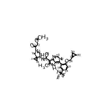 COCC(=O)N1C[C@@H](NC(=O)c2c(C)[nH]c3c(-c4cc(C(F)(F)F)ccc4OCC4CC4)ncnc23)C2(CC2)C1